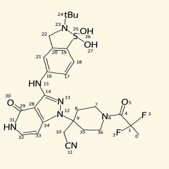 CC(F)(F)C(=O)N1CCC(CC#N)(n2nc(Nc3ccc4c(c3)CN(C(C)(C)C)S4(O)O)c3c(=O)[nH]ccc32)CC1